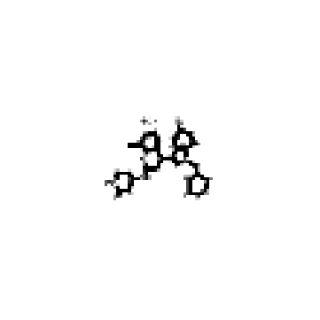 Cc1cccc(C(CC(=O)NC2CCNC(=O)C2)c2cn(CC3CCCCC3)c3ccc(Br)cc23)c1.Cl